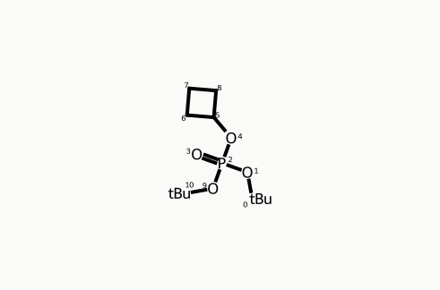 CC(C)(C)OP(=O)(OC1CCC1)OC(C)(C)C